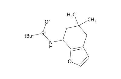 CC1(C)Cc2ccoc2C(N[S+]([O-])C(C)(C)C)C1